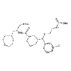 CNCC(CC1CCCOCC1)NC(=O)N1CCCC(C(OCCNC(=O)OC)c2cccc(Cl)c2)C1